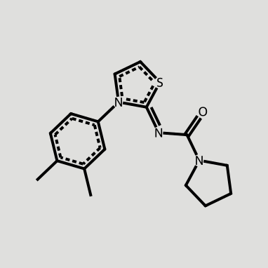 Cc1ccc(-n2ccsc2=NC(=O)N2CCCC2)cc1C